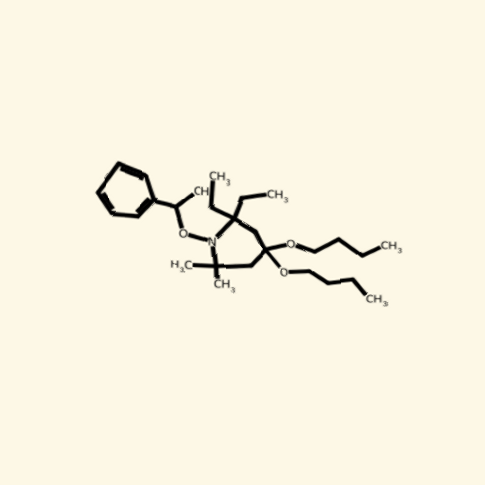 CCCCOC1(OCCCC)CC(C)(C)N(OC(C)c2ccccc2)C(CC)(CC)C1